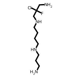 NCCCNCCCCNCC(F)(Cl)CN